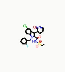 CCS(=O)(=O)NC(=O)c1c(-c2ccc[nH]c2=O)c2cc(Cl)ccc2n1Cc1ccccc1F